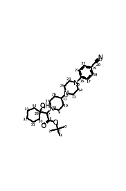 CC(C)(C)OC(=O)C(N1CCC(N2CCN(c3ccc(C#N)cc3)CC2)CC1)C1(O)CCCCC1